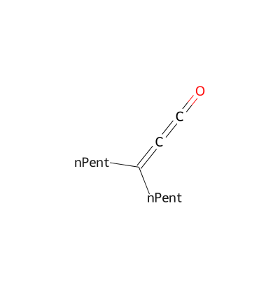 CCCCCC(=C=C=O)CCCCC